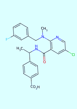 CC(NC(=O)c1cc(Cl)cnc1N(C)Cc1cccc(F)c1)c1ccc(C(=O)O)cc1